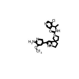 CC(NC(=O)N1CCC2(CCn3nc(-c4cnc(N)c(OC(F)(F)F)c4)cc32)C1)c1ccncc1Cl